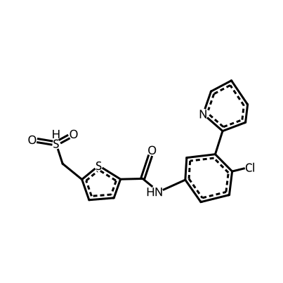 O=C(Nc1ccc(Cl)c(-c2ccccn2)c1)c1ccc(C[SH](=O)=O)s1